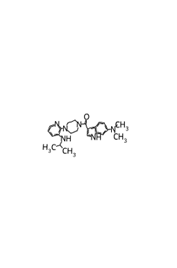 CC(C)Nc1cccnc1N1CCN(C(=O)c2c[nH]c3cc(N(C)C)ccc23)CC1